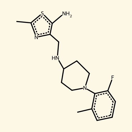 Cc1nc(CNC2CCN(c3c(C)cccc3F)CC2)c(N)s1